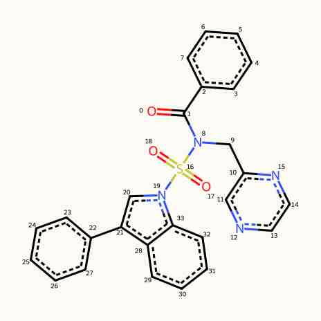 O=C(c1ccccc1)N(Cc1cnccn1)S(=O)(=O)n1cc(-c2ccccc2)c2ccccc21